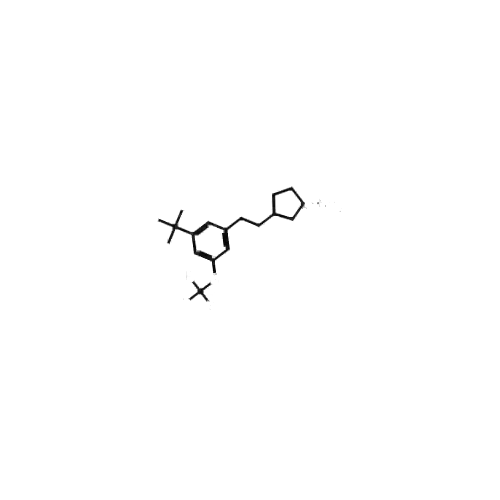 CC(C)(C)c1cc(CCC2CC[C@H](N)C2)cc(SC(F)(F)F)c1